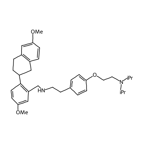 COc1ccc2c(c1)CCC(c1ccc(OC)cc1CNCCc1ccc(OCCN(C(C)C)C(C)C)cc1)C2